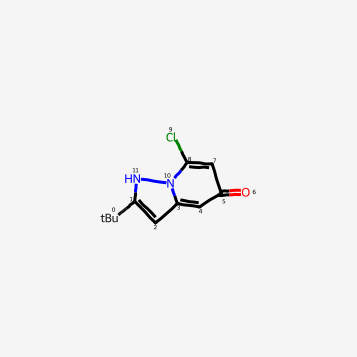 CC(C)(C)c1cc2cc(=O)cc(Cl)n2[nH]1